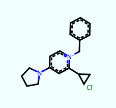 [Cl-].c1ccc(C[n+]2ccc(N3CCCC3)cc2C2CC2)cc1